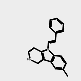 Cc1ccc2c(c1)c1c(n2C=Cc2ccccc2)CCNC1